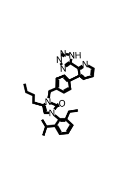 CCCCc1cn(-c2c(CC)cccc2C(C)C)c(=O)n1Cc1ccc(-c2cccnc2-c2nnn[nH]2)cc1